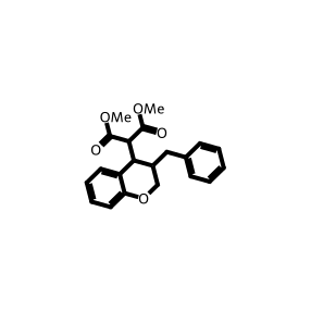 COC(=O)C(C(=O)OC)C1c2ccccc2OCC1Cc1ccccc1